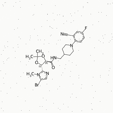 Cn1c(Br)cnc1[C@@H]1OC(C)(C)O[C@H]1C(=O)NCC1CCN(c2ccc(F)cc2C#N)CC1